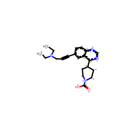 CCN(CC)CC#Cc1ccc2ncnc(C3CCN(C(=O)O)CC3)c2c1